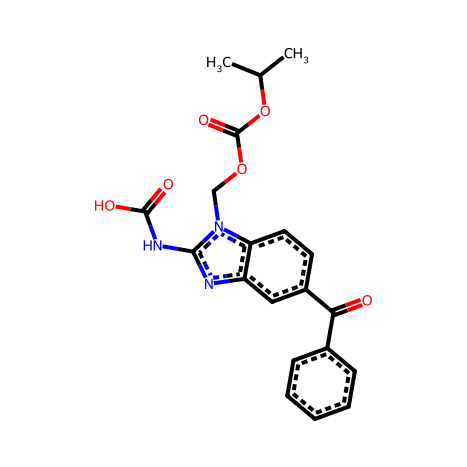 CC(C)OC(=O)OCn1c(NC(=O)O)nc2cc(C(=O)c3ccccc3)ccc21